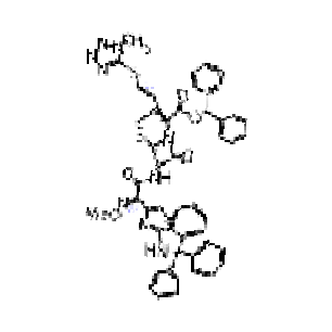 CO/N=C(/C(=O)NC1C(=O)N2C(C(=O)OC(c3ccccc3)c3ccccc3)=C(/C=C/Sc3nnnn3C)CSC12)c1csc(NC(c2ccccc2)(c2ccccc2)c2ccccc2)n1